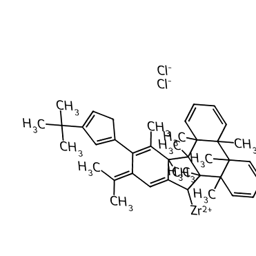 CC(C)=C1C=C2[CH]([Zr+2])C3(C)C4(C)C=CC=CC4(C)C4(C)C=CC=CC4(C)C3(C)C2(C)C(C)=C1C1=CC(C(C)(C)C)=CC1.[Cl-].[Cl-]